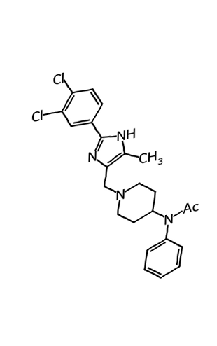 CC(=O)N(c1ccccc1)C1CCN(Cc2nc(-c3ccc(Cl)c(Cl)c3)[nH]c2C)CC1